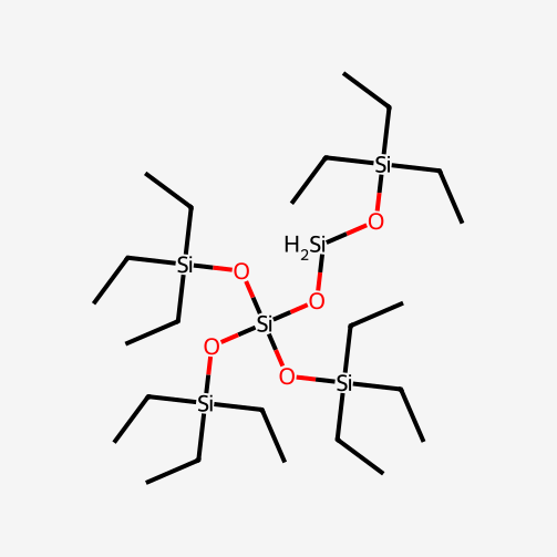 CC[Si](CC)(CC)O[SiH2]O[Si](O[Si](CC)(CC)CC)(O[Si](CC)(CC)CC)O[Si](CC)(CC)CC